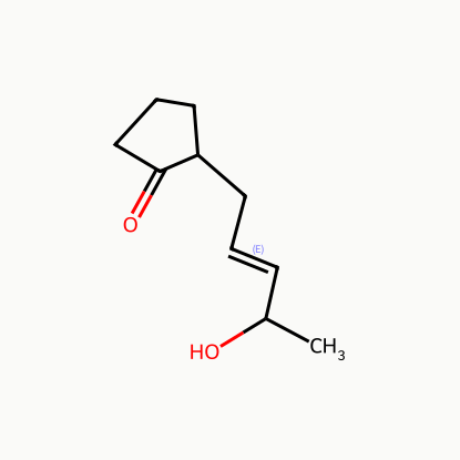 CC(O)/C=C/CC1CCCC1=O